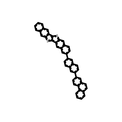 c1ccc2cc3c(cc2c1)sc1c2cc4cc(-c5ccc6cc(-c7ccc8c(ccc9ccccc98)c7)ccc6c5)ccc4cc2sc31